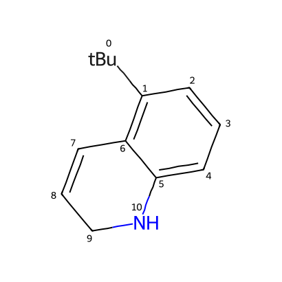 CC(C)(C)c1cccc2c1C=CCN2